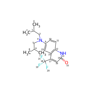 CC(C)CN(CC(C)C)c1ccc2[nH]c(=O)cc(C(F)(F)F)c2c1